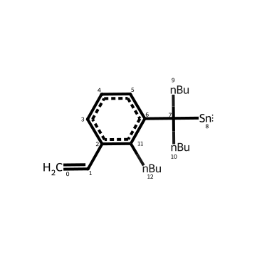 C=Cc1cccc([C]([Sn])(CCCC)CCCC)c1CCCC